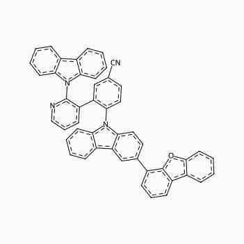 N#Cc1ccc(-n2c3ccccc3c3cc(-c4cccc5c4oc4ccccc45)ccc32)c(-c2cccnc2-n2c3ccccc3c3ccccc32)c1